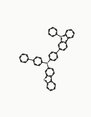 c1ccc(-c2ccc(N(c3ccc(-c4ccc5c6ccccc6n(-c6ccccc6)c5c4)cc3)c3ccc4c(c3)sc3ccccc34)cc2)cc1